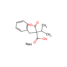 CC(C)C(Cc1ccccc1)(C(=O)O)C(=O)O.[NaH]